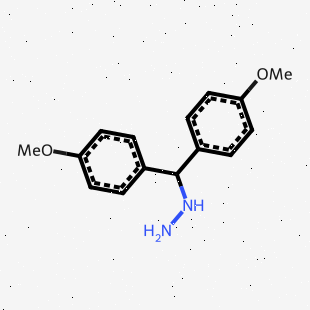 COc1ccc(C(NN)c2ccc(OC)cc2)cc1